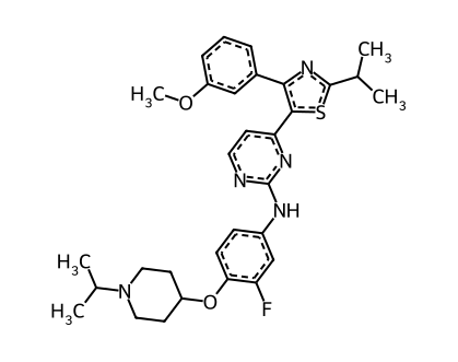 COc1cccc(-c2nc(C(C)C)sc2-c2ccnc(Nc3ccc(OC4CCN(C(C)C)CC4)c(F)c3)n2)c1